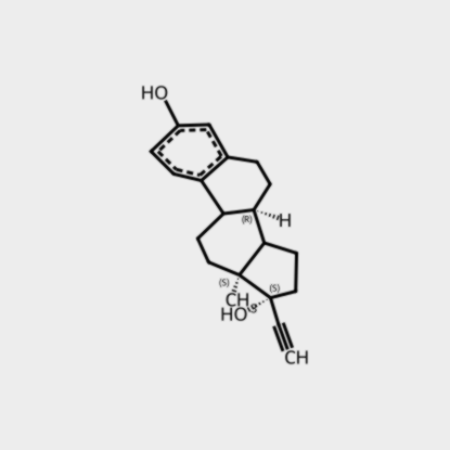 C#C[C@]1(O)CCC2[C@@H]3CCc4cc(O)ccc4C3CC[C@@]21C